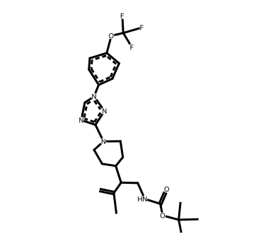 C=C(C)C(CNC(=O)OC(C)(C)C)C1CCN(c2ncn(-c3ccc(OC(F)(F)F)cc3)n2)CC1